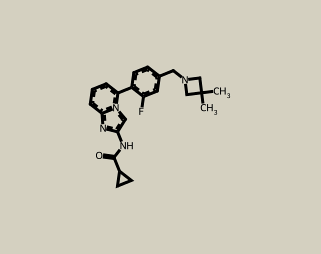 CC1(C)CN(Cc2ccc(-c3cccc4nc(NC(=O)C5CC5)cn34)c(F)c2)C1